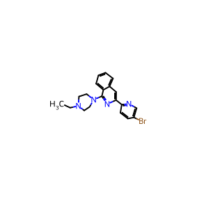 CCN1CCN(c2nc(-c3ccc(Br)cn3)cc3ccccc23)CC1